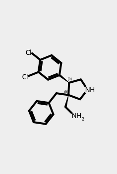 NC[C@]1(Cc2ccccc2)CNC[C@@H]1c1ccc(Cl)c(Cl)c1